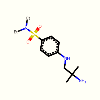 CCN(CC)S(=O)(=O)c1ccc(NCC(C)(C)N)cc1